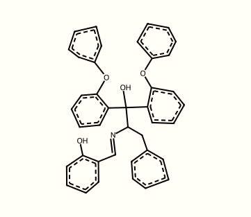 Oc1ccccc1C=NC(Cc1ccccc1)C(O)(c1ccccc1Oc1ccccc1)c1ccccc1Oc1ccccc1